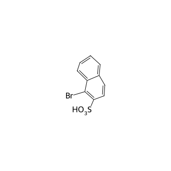 O=S(=O)(O)c1ccc2ccccc2c1Br